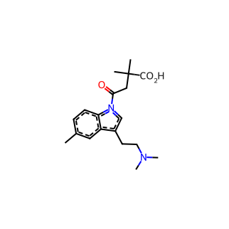 Cc1ccc2c(c1)c(CCN(C)C)cn2C(=O)CC(C)(C)C(=O)O